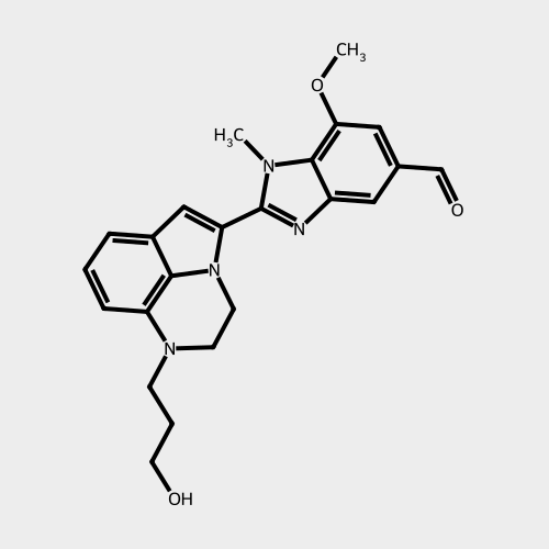 COc1cc(C=O)cc2nc(-c3cc4cccc5c4n3CCN5CCCO)n(C)c12